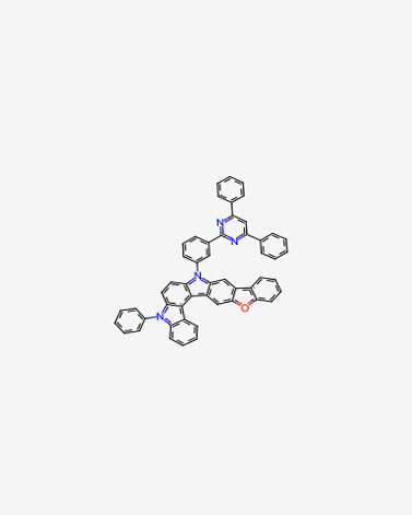 c1ccc(-c2cc(-c3ccccc3)nc(-c3cccc(-n4c5cc6c(cc5c5c7c8ccccc8n(-c8ccccc8)c7ccc54)oc4ccccc46)c3)n2)cc1